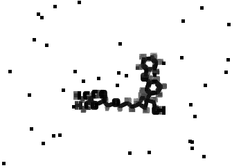 CC(C)(C)OC(=O)COCCCC1CC(CO)(c2cccc(Oc3ccccc3)c2)C1